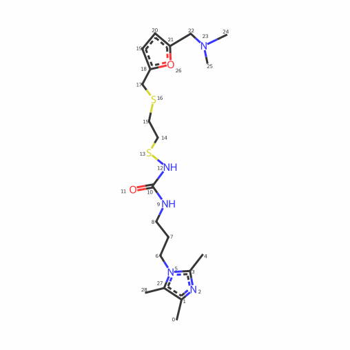 Cc1nc(C)n(CCCNC(=O)NSCCSCc2ccc(CN(C)C)o2)c1C